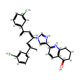 C=C(/C=C(\C=C(/C)c1cccc(F)c1)n1cnc(-c2ccc3c(n2)CCCC3=O)c1)c1cccc(F)c1